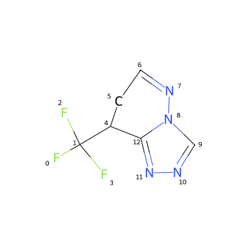 FC(F)(F)C1CC=Nn2cnnc21